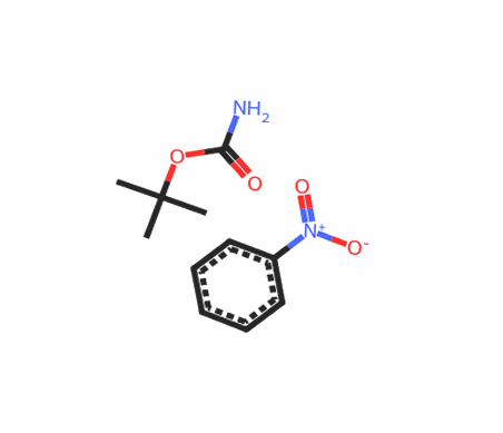 CC(C)(C)OC(N)=O.O=[N+]([O-])c1ccccc1